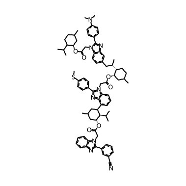 CSc1ccc(-c2nc3c(C4CC(C)C[C@@H](OC(=O)Cn5c(-c6cccc(C#N)c6)nc6ccccc65)[C@@H]4C(C)C)cccc3n2CC(=O)O[C@@H]2CC(C)CC[C@H]2C(C)Cc2ccc3c(c2)nc(-c2ccc(N(C)C)cc2)n3CC(=O)O[C@@H]2CC(C)CCC2C(C)C)cc1